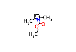 CCOC(=O)n1c(C)ccc1C